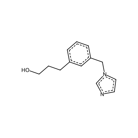 OCCCc1cccc(Cn2ccnc2)c1